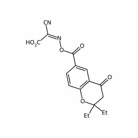 CCC1(CC)CC(=O)c2cc(C(=O)ON=C(C#N)C(=O)O)ccc2O1